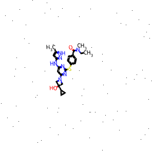 CCN(C)C(=O)c1ccc(Sc2nc(Nc3cc(C)[nH]n3)cc(N3CC(O)(C4CC4)C3)n2)cc1